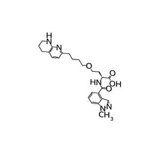 Cn1ncc2c(C(=O)N[C@@H](CCOCCCCc3ccc4c(n3)NCCC4)C(=O)O)cccc21